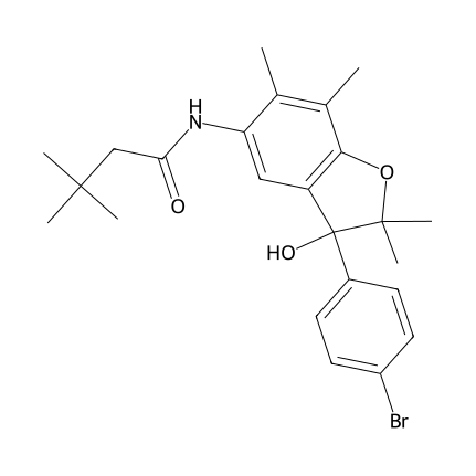 Cc1c(NC(=O)CC(C)(C)C)cc2c(c1C)OC(C)(C)C2(O)c1ccc(Br)cc1